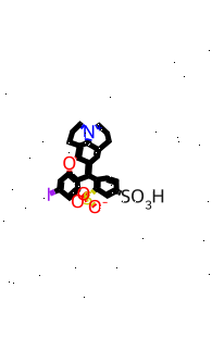 O=S(=O)([O-])c1cc(S(=O)(=O)O)ccc1C1=c2cc3c4c(c2Oc2cc(I)ccc21)CCC[N+]=4CCC3